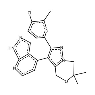 Cc1nc(-c2nn3c(c2-c2ccnc4[nH]ncc24)COC(C)(C)C3)ccc1Cl